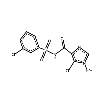 CCCn1cnc(C(=O)NS(=O)(=O)c2cccc(Cl)c2)c1Cl